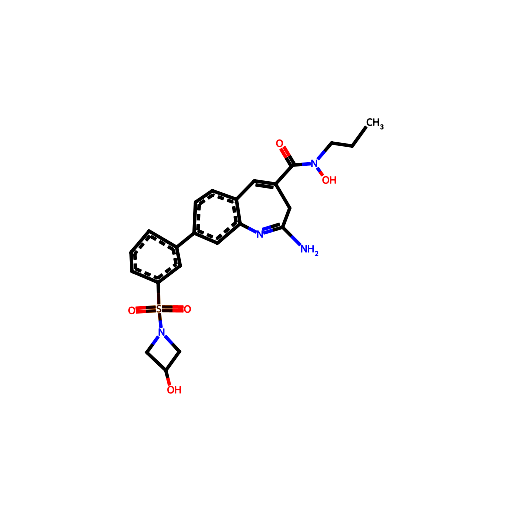 CCCN(O)C(=O)C1=Cc2ccc(-c3cccc(S(=O)(=O)N4CC(O)C4)c3)cc2N=C(N)C1